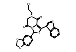 O=C1C2=C(C3=C=Nc4ccccc43)OC(c3ccc4c(c3)OCO4)N2C(=O)CN1CCO